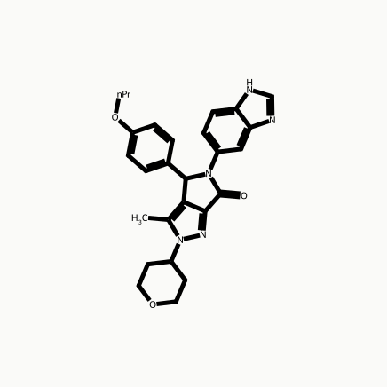 CCCOc1ccc(C2c3c(nn(C4CCOCC4)c3C)C(=O)N2c2ccc3[nH]cnc3c2)cc1